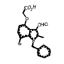 Cc1c(C=O)c2c(OCC(=O)O)ccc(Br)c2n1Cc1ccccc1